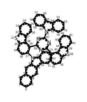 c1ccc2cc3c(cc2c1)c1ccccc1n3-c1ccc2sc3ccccc3c2c1-c1nc(-c2cccc3sc4ccccc4c23)nc(-n2c3ccccc3c3ccccc32)n1